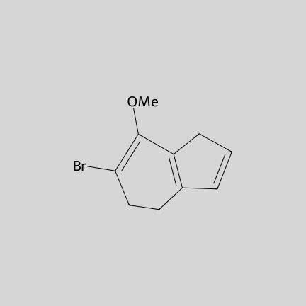 COC1=C(Br)CCC2=C1CC=C2